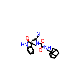 N#C[C@@H]1C[C@@]2(CN1C(=O)C(=O)NCC13CC4CC(CC(C4)C1)C3)C(=O)Nc1ccccc12